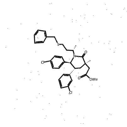 COC(=O)C[C@@]1(C)C[C@H](c2cccc(Cl)c2)[C@@H](c2ccc(Cl)cc2)N([C@@H](C)CCSCc2ccccc2)C1=O